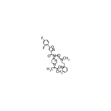 C[C@H](O)[C@@H](C)N1CC[C@@H](NC(=O)c2cc(-c3ccc(F)cc3F)on2)[C@H](C(=O)N(C)CCc2ccccc2)C1